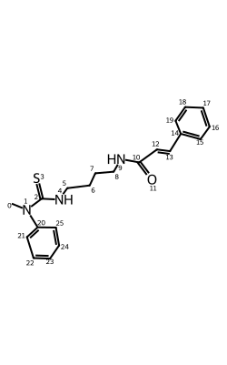 CN(C(=S)NCCCCNC(=O)C=Cc1ccccc1)c1ccccc1